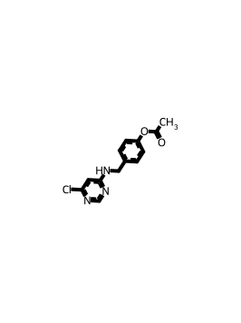 CC(=O)Oc1ccc(CNc2cc(Cl)ncn2)cc1